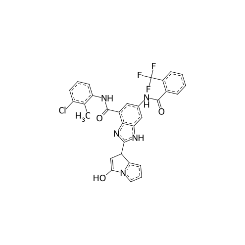 Cc1c(Cl)cccc1NC(=O)c1cc(NC(=O)c2ccccc2C(F)(F)F)cc2[nH]c(C3C=C(O)n4cccc43)nc12